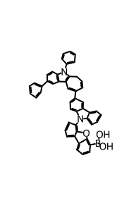 OB(O)c1cccc2c1oc1c(-n3c4ccccc4c4cc(C5=Cc6c(n(-c7ccccc7)c7ccc(-c8ccccc8)cc67)CC=C5)ccc43)cccc12